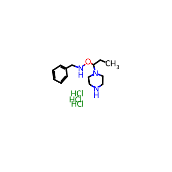 CCC(ONCc1ccccc1)N1CCNCC1.Cl.Cl.Cl